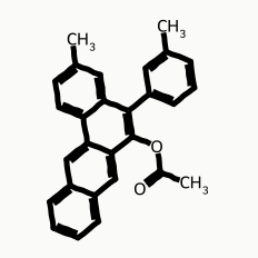 CC(=O)Oc1c(-c2cccc(C)c2)c2cc(C)ccc2c2cc3ccccc3cc12